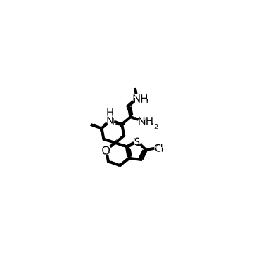 CN/C=C(\N)C1CC2(CC(C)N1)OCCc1cc(Cl)sc12